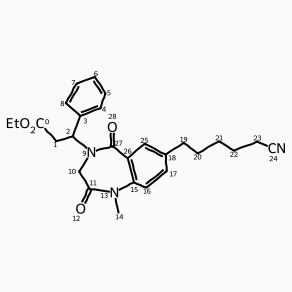 CCOC(=O)CC(c1ccccc1)N1CC(=O)N(C)c2ccc(CCCCCC#N)cc2C1=O